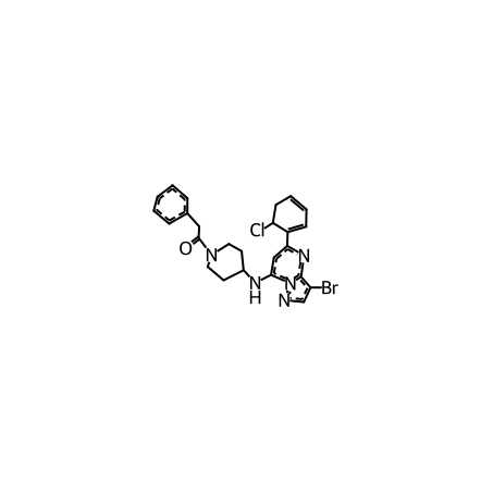 O=C(Cc1ccccc1)N1CCC(Nc2cc(C3=CC=CCC3Cl)nc3c(Br)cnn23)CC1